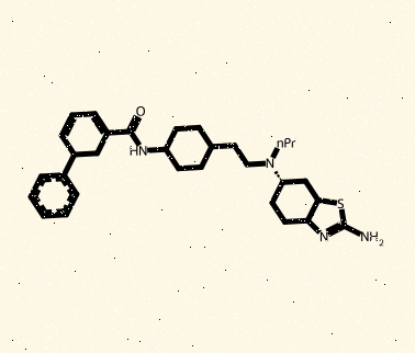 CCCN(CCC1CCC(NC(=O)C2=CC=CC(c3ccccc3)C2)CC1)[C@H]1CCC2N=C(N)SC2C1